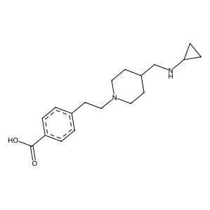 O=C(O)c1ccc(CCN2CCC(CNC3CC3)CC2)cc1